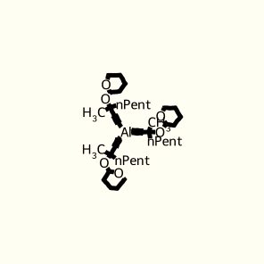 CCCCCC(C)(C#[C][Al]([C]#CC(C)(CCCCC)OC1CCCCO1)[C]#CC(C)(CCCCC)OC1CCCCO1)OC1CCCCO1